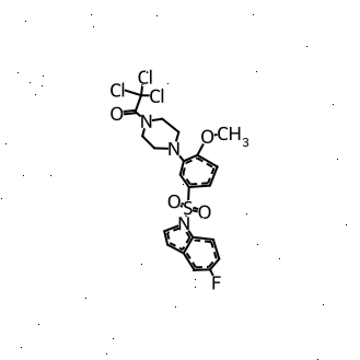 COc1ccc(S(=O)(=O)n2ccc3cc(F)ccc32)cc1N1CCN(C(=O)C(Cl)(Cl)Cl)CC1